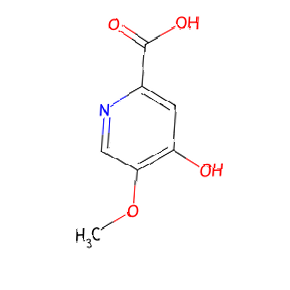 COc1cnc(C(=O)O)cc1O